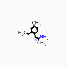 C=Cc1cc(C)ccc1/C=C(/C)N